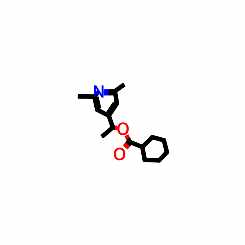 Cc1cc(C(C)OC(=O)C2CCCCC2)cc(C)n1